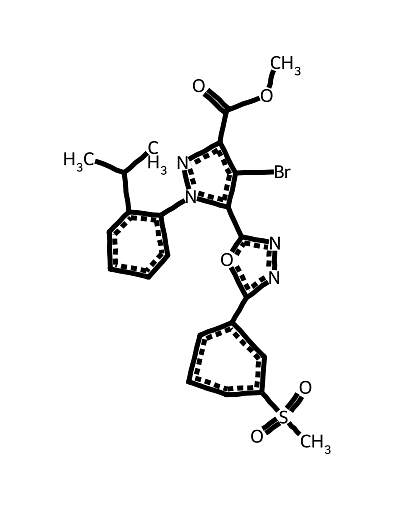 COC(=O)c1nn(-c2ccccc2C(C)C)c(-c2nnc(-c3cccc(S(C)(=O)=O)c3)o2)c1Br